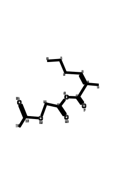 CCCC=C(C)C(=O)OC(=O)COC(C)=O